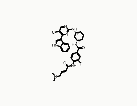 CN(C)CC=CC(=O)Nc1ccc(C(=O)N[C@H]2CCC[C@@H](Nc3ncc(Cl)c(-c4c[nH]c5ccccc45)n3)C2)cc1F